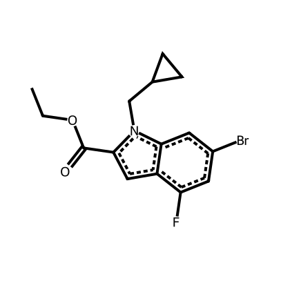 CCOC(=O)c1cc2c(F)cc(Br)cc2n1CC1CC1